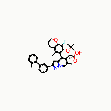 Cc1ccccc1-c1cccc(-c2cc3c(-c4cc(F)c5c(c4C)CCCO5)c([C@H](OC(C)(C)C)C(=O)O)c(C)cn3n2)c1